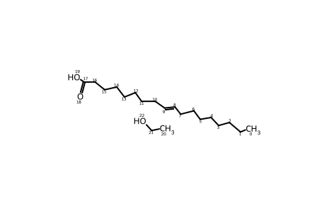 CCCCCCCCC=CCCCCCCCC(=O)O.CCO